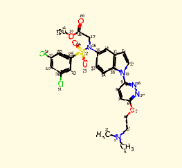 CN(C)CCOc1ccc(-n2ccc3cc(N(CC(=O)OC(C)(C)C)S(=O)(=O)c4cc(Cl)cc(Cl)c4)ccc32)nn1